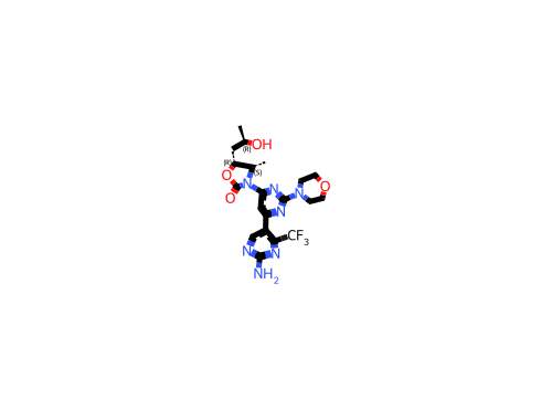 C[C@@H](O)C[C@H]1OC(=O)N(c2cc(-c3cnc(N)nc3C(F)(F)F)nc(N3CCOCC3)n2)[C@H]1C